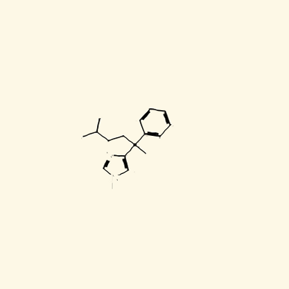 [CH2]C(CCC(C)C)(c1ccccc1)c1c[nH]cn1